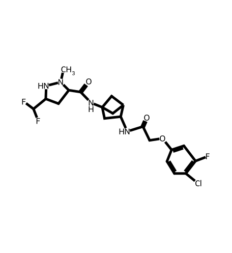 CN1NC(C(F)F)CC1C(=O)NC12CC(C1)C(NC(=O)COc1ccc(Cl)c(F)c1)C2